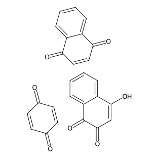 O=C1C=C(O)c2ccccc2C1=O.O=C1C=CC(=O)C=C1.O=C1C=CC(=O)c2ccccc21